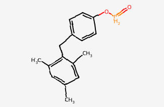 Cc1cc(C)c(Cc2ccc(O[PH2]=O)cc2)c(C)c1